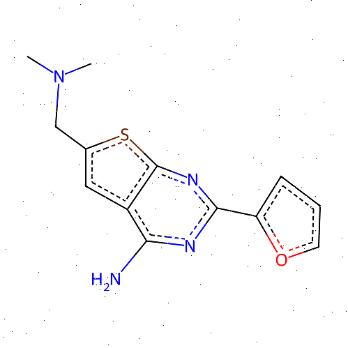 CN(C)Cc1cc2c(N)nc(-c3ccco3)nc2s1